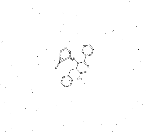 NN(C(=O)c1cccnc1)C(Cc1ccccc1)C(=O)O.O=c1c2ccncc12